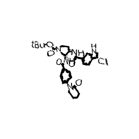 CC(C)(C)OC(=O)N1CC[C@@H](NC(=O)c2ccc3c(Cl)c[nH]c3c2)[C@@H](NC(=O)c2ccc(N3CCCCC3=O)cc2)C1